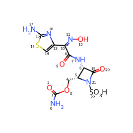 NC(=O)OC[C@@H]1[C@H](NC(=O)C(=NO)c2csc(N)n2)C(=O)N1S(=O)(=O)O